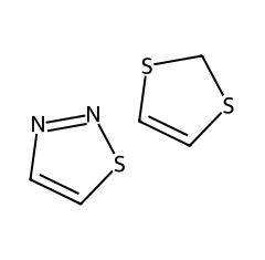 C1=CSCS1.c1csnn1